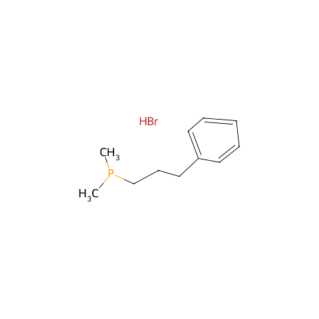 Br.CP(C)CCCc1ccccc1